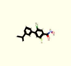 CC(C)c1cccc(-c2cc(F)c(C(=O)N=O)cc2Cl)c1